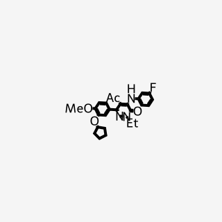 CCn1nc(-c2ccc(OC)c(OC3CCCC3)c2)c(C(C)=O)c(Nc2cccc(F)c2)c1=O